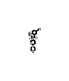 CN1CCN(c2ccc(NC(=O)c3cc(C#N)ccc3S(C)(=O)=O)cn2)CC1